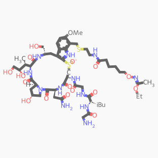 CCO/C(C)=N\OCCCCCC(=O)NCCSCc1c(OC)ccc2c3c([nH]c12)[S+]([O-])C[C@H](NC(=O)CNC(=O)[C@@H](NC(=O)CN)[C@@H](C)CC)C(=O)N[C@@H](CC(N)=O)C(=O)N1C[C@H](O)C[C@H]1C(=O)N[C@@H]([C@@H](C)[C@@H](O)CO)C(=O)N[C@H](CO)C3